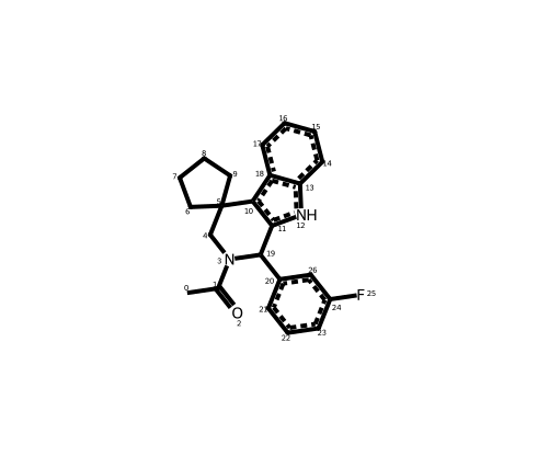 CC(=O)N1CC2(CCCC2)c2c([nH]c3ccccc23)C1c1cccc(F)c1